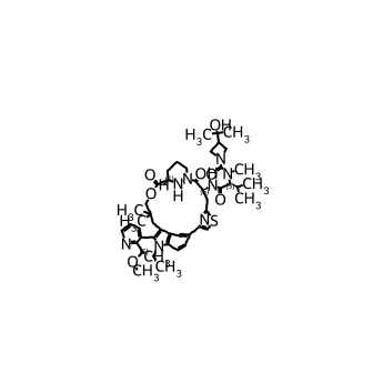 CCn1c(-c2cccnc2[C@H](C)OC)c2c3cc(ccc31)-c1csc(n1)C[C@H](NC(=O)[C@H](C(C)C)N(C)C(=O)N1CC(C(C)(C)O)C1)C(=O)N1CCC[C@H](N1)C(=O)OCC(C)(C)C2